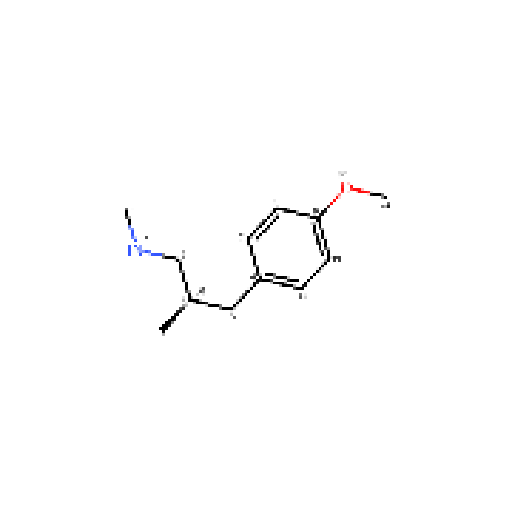 CNC[C@H](C)Cc1ccc(OC)cc1